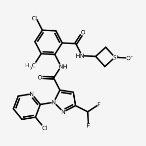 Cc1cc(Cl)cc(C(=O)NC2C[S+]([O-])C2)c1NC(=O)c1cc(C(F)F)nn1-c1ncccc1Cl